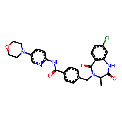 CC1C(=O)Nc2cc(Cl)ccc2C(=O)N1Cc1ccc(C(=O)Nc2ccc(N3CCOCC3)cn2)cc1